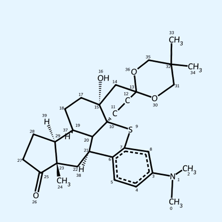 CN(C)c1ccc2c(c1)S[C@]13CCC4(C[C@]1(O)CC[C@@H]1C3[C@@H]2C[C@]2(C)C(=O)CC[C@@H]12)OCC(C)(C)CO4